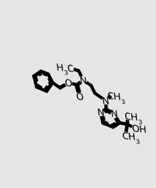 CCN(CCN(C)c1nccc(C(C)(C)O)n1)C(=O)OCc1ccccc1